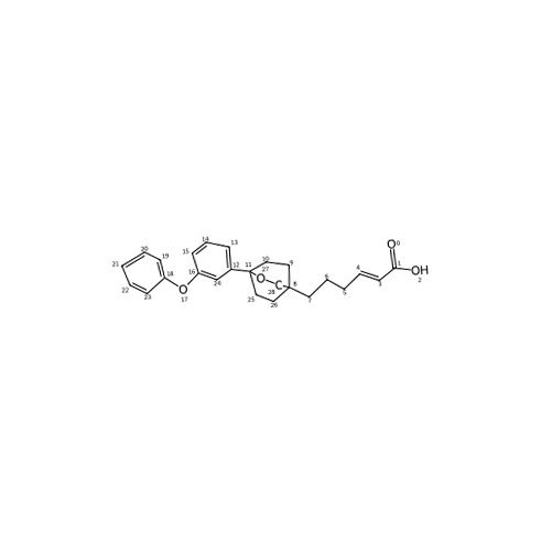 O=C(O)/C=C/CCCC12CCC(c3cccc(Oc4ccccc4)c3)(CC1)OC2